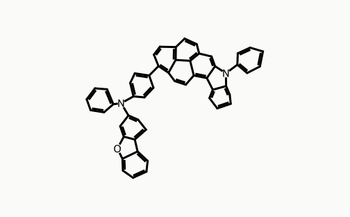 c1ccc(N(c2ccc(-c3ccc4ccc5cc6c(c7ccc3c4c57)c3ccccc3n6-c3ccccc3)cc2)c2ccc3c(c2)oc2ccccc23)cc1